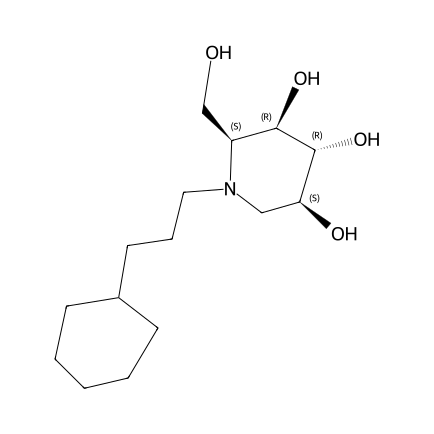 OC[C@H]1[C@@H](O)[C@H](O)[C@@H](O)CN1CCCC1CCCCC1